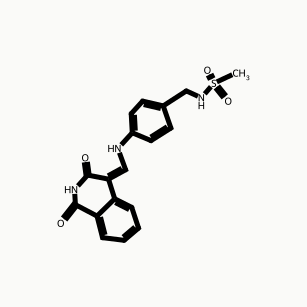 CS(=O)(=O)NCc1ccc(NC=C2C(=O)NC(=O)c3ccccc32)cc1